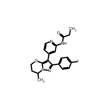 CCC(=O)Nc1cc(-c2c(-c3ccc(F)cc3)nn3c2OCCC3C)ccn1